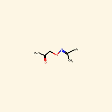 CCC/C(C)=N/OCC(=O)OC